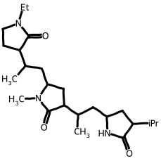 CCN1CCC(C(C)CC2CC(C(C)CC3CC(C(C)C)C(=O)N3)C(=O)N2C)C1=O